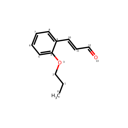 CCCOc1ccccc1C=C[C]=O